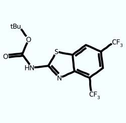 CC(C)(C)OC(=O)Nc1nc2c(C(F)(F)F)cc(C(F)(F)F)cc2s1